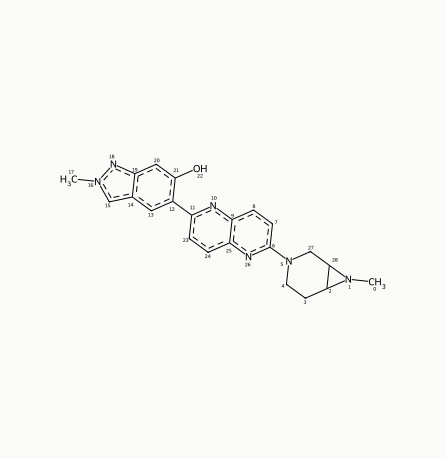 CN1C2CCN(c3ccc4nc(-c5cc6cn(C)nc6cc5O)ccc4n3)CC21